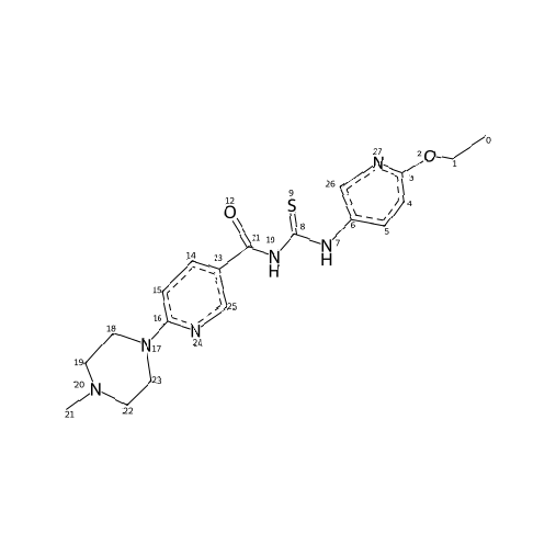 CCOc1ccc(NC(=S)NC(=O)c2ccc(N3CCN(C)CC3)nc2)cn1